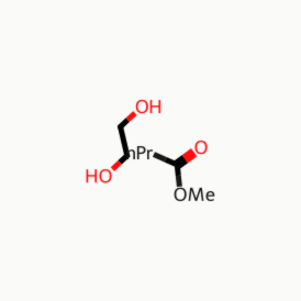 CCCC(=O)OC.OCCO